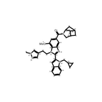 COc1cc(C(=O)N2CC3CC4CC2[C@H]43)cc2nc(-c3cc4ccccc4n3CC3CC3)n(CCc3cnn(C)c3)c12